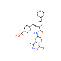 Cc1noc(=O)c2ccc(NC(=O)C(=C=Cc3ccc(C(C)(C)O)cc3)CC(C)(C)c3ccccc3)cc12